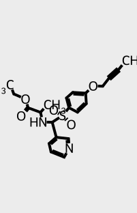 CC#CCOc1ccc(S(=O)(=O)C(NC(C)C(=O)OCC)c2cccnc2)cc1